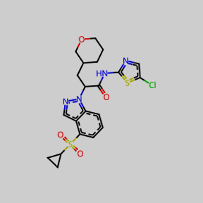 O=C(Nc1ncc(Cl)s1)C(CC1CCCOC1)n1ncc2c(S(=O)(=O)C3CC3)cccc21